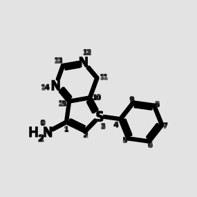 NC1=CS(c2ccccc2)=C2CN=CN=C12